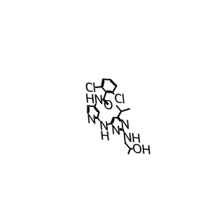 CC(O)CNc1nc(Nc2cc(NC(=O)c3c(Cl)cccc3Cl)ccn2)cc(C(C)C)n1